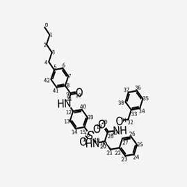 CCCCCc1ccc(C(=O)Nc2ccc(S(=O)(=O)N[C@H](Cc3ccccc3)C(=O)NOCc3ccccc3)cc2)cc1